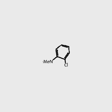 C[N]c1ccccc1Cl